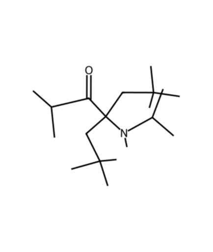 CC(C)C(=O)C(CC(C)(C)C)(CC(C)(C)C)N(C)C(C)C